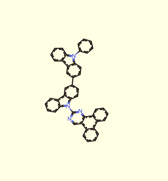 c1ccc(-n2c3ccccc3c3cc(-c4ccc5c(c4)c4ccccc4n5-c4ncc5c6ccccc6c6ccccc6c5n4)ccc32)cc1